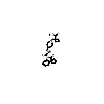 O=C(NCC1CCN(CC2(C(=O)O)CCC2)CC1)N1C(=O)C2(CCCC2)c2ccccc21